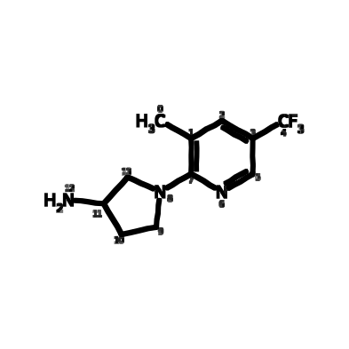 Cc1cc(C(F)(F)F)cnc1N1CCC(N)C1